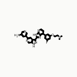 CN(C)CCOc1cc(F)cc(-c2ccnc3[nH]c(-c4n[nH]c5cnc(-c6cncc(N)c6)cc45)nc23)c1